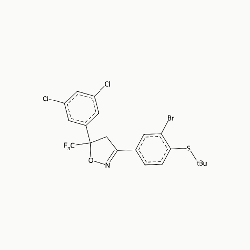 CC(C)(C)Sc1ccc(C2=NOC(c3cc(Cl)cc(Cl)c3)(C(F)(F)F)C2)cc1Br